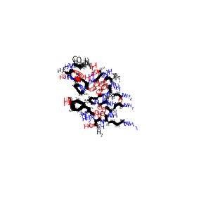 CC(C)C[C@H](NC(=O)[C@@H](NC(=O)[C@@H]1CCCN1C(=O)[C@@H](NC(=O)[C@H](CO)NC(=O)[C@@H](NC(=O)[C@H](CCC(N)=O)NC(=O)[C@@H]1CCCN1C(=O)[C@@H](NC(=O)[C@H](CCCCN)NC(=O)[C@H](CCCCN)NC(=O)[C@@H](NC(=O)[C@@H](N)Cc1ccc(O)cc1)[C@@H](C)O)C(C)C)C(C)C)[C@@H](C)O)[C@@H](C)O)C(=O)O